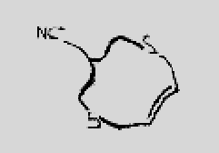 N#CC1SC=CS1